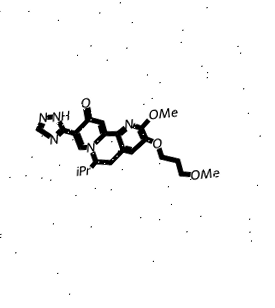 COCCCOc1cc2c(nc1OC)-c1cc(=O)c(-c3ncn[nH]3)cn1C(C(C)C)C2